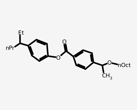 CCCCCCCCOC(C)c1ccc(C(=O)Oc2ccc(C(CC)CCC)cc2)cc1